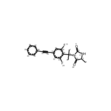 CC1NC(=O)N(C(C)(C)c2c(F)cc(C#Cc3ccccc3)cc2F)C1=O